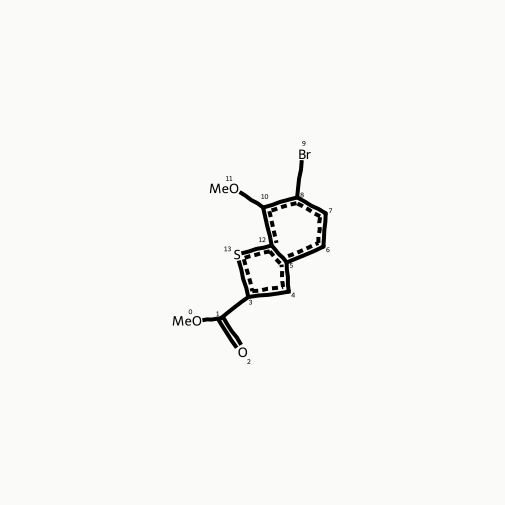 COC(=O)c1cc2ccc(Br)c(OC)c2s1